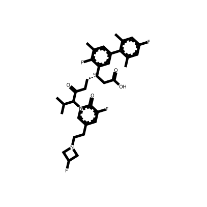 Cc1cc(-c2c(C)cc(F)cc2C)cc([C@@H](CCC(=O)C(C(C)C)n2cc(CCN3CC(F)C3)cc(F)c2=O)CC(=O)O)c1F